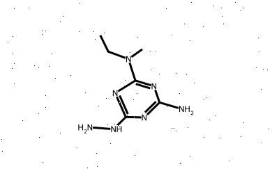 CCN(C)c1nc(N)nc(NN)n1